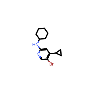 Brc1cnc(NC2CCCCC2)cc1C1CC1